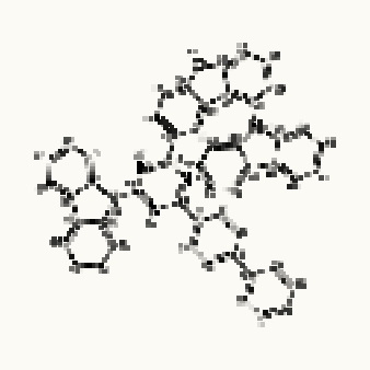 c1ccc(-c2ccc(-c3nc(-c4ccc5oc6cccc(-n7c8ccccc8c8ccccc87)c6c5c4)nc(-n4c5ccccc5c5ccccc54)n3)cc2)cc1